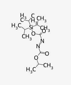 CC(C)OC(=O)/N=N/C(=O)O[Si](C(C)C)(C(C)C)C(C)C